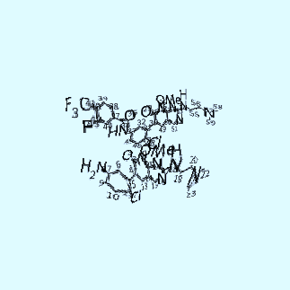 COn1c(=O)c(-c2cc(N)ccc2Cl)cc2cnc(NCCN(C)C)nc21.COn1c(=O)c(-c2cc(NC(=O)c3ccc(C(F)(F)F)c(F)c3)ccc2Cl)cc2cnc(NCCN(C)C)nc21